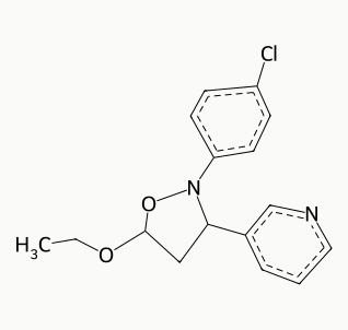 CCOC1CC(c2cccnc2)N(c2ccc(Cl)cc2)O1